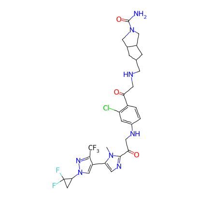 Cn1c(-c2cn(C3CC3(F)F)nc2C(F)(F)F)cnc1C(=O)CNc1ccc(C(=O)CNCC2CC3CN(C(N)=O)CC3C2)c(Cl)c1